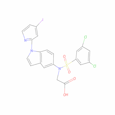 O=C(O)CN(c1ccc2c(ccn2-c2cc(I)ccn2)c1)S(=O)(=O)c1cc(Cl)cc(Cl)c1